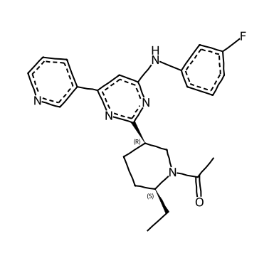 CC[C@H]1CC[C@@H](c2nc(Nc3cccc(F)c3)cc(-c3cccnc3)n2)CN1C(C)=O